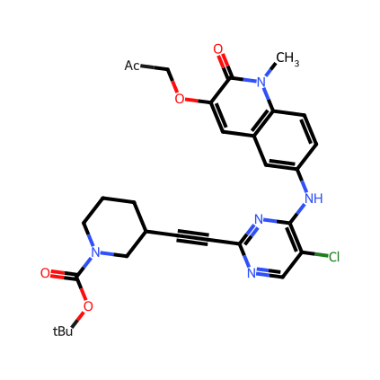 CC(=O)COc1cc2cc(Nc3nc(C#CC4CCCN(C(=O)OC(C)(C)C)C4)ncc3Cl)ccc2n(C)c1=O